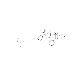 Cc1ccc(C2=C(N3NNNC3=O)C(=O)N[C@@](c3ccc(OCCCCCC(F)(F)F)cc3)(C(F)(F)F)C2)cc1